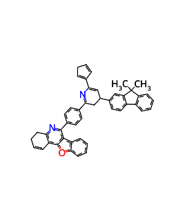 CC1(C)c2ccccc2-c2ccc(C3C=C(C4=CCC=C4)N=C(c4ccc(-c5nc6c(c7oc8ccccc8c57)C=CCC6)cc4)C3)cc21